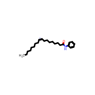 CCCCCCCC/C=C\CCCCCCCC(=O)Nc1cc[c]cc1